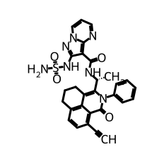 C#Cc1ccc2c3c(c([C@@H](C)NC(=O)c4c(NS(N)(=O)=O)nn5cccnc45)n(-c4ccccc4)c(=O)c13)CCC2